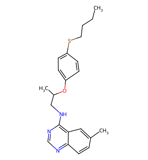 CCCCSc1ccc(OC(C)CNc2ncnc3ccc(C)cc23)cc1